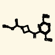 CSc1ncc(C=O)c(NC2CN(C(=O)OC(C)(C)C)C2)n1